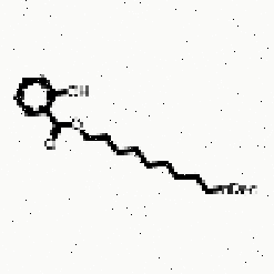 CCCCCCCCCCCCCCCCCCCOC(=O)c1ccccc1O